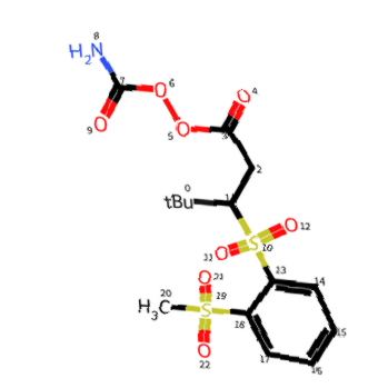 CC(C)(C)C(CC(=O)OOC(N)=O)S(=O)(=O)c1ccccc1S(C)(=O)=O